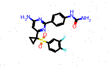 NC(=O)Nc1ccc(-c2nc(N)cc(C3(S(=O)(=O)c4ccc(F)c(F)c4)CC3)n2)cc1